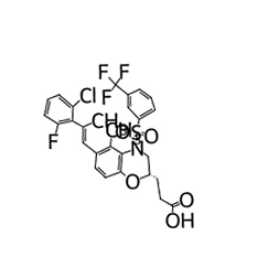 CC(=Cc1ccc2c(c1C)N(S(=O)(=O)c1cccc(C(F)(F)F)c1)C[C@H](CCC(=O)O)O2)c1c(F)cccc1Cl